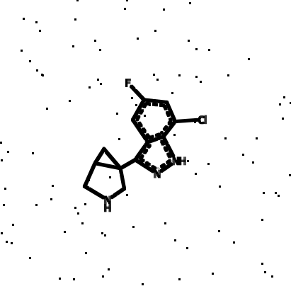 Fc1cc(Cl)c2[nH]nc(C34CNCC3C4)c2c1